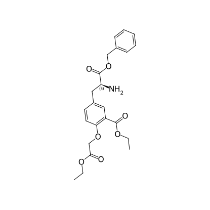 CCOC(=O)COc1ccc(C[C@H](N)C(=O)OCc2ccccc2)cc1C(=O)OCC